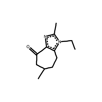 CCn1c(C)nc2c1CCC(C)CC2=O